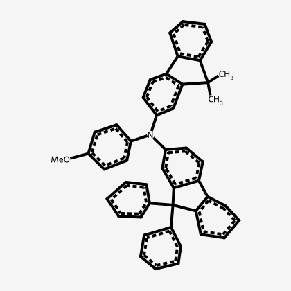 COc1ccc(N(c2ccc3c(c2)C(C)(C)c2ccccc2-3)c2ccc3c(c2)C(c2ccccc2)(c2ccccc2)c2ccccc2-3)cc1